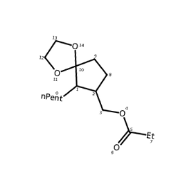 CCCCCC1C(COC(=O)CC)CCC12OCCO2